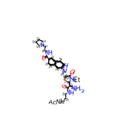 CCN1C(=O)[C@@H](CNc2ccc3cc(C(=O)NCCN4CCCC4)ccc3c2)S/C1=C(/N)C(=O)NCCNC(C)=O